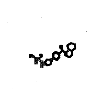 CC(C)NC(=O)N[C@H]1CCN(c2ccc(C(=O)N3CCCC4CCCCC43)cc2)C1